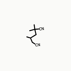 CC(CC#N)CC(C)(C)C#N